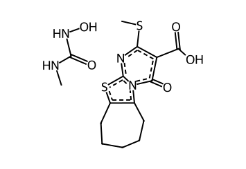 CNC(=O)NO.CSc1nc2sc3c(n2c(=O)c1C(=O)O)CCCCC3